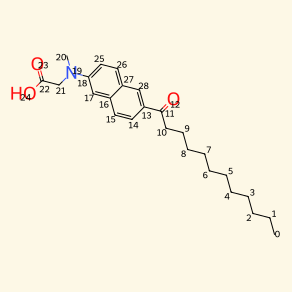 CCCCCCCCCCCC(=O)c1ccc2cc(N(C)CC(=O)O)ccc2c1